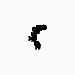 CN(C)c1nc(CNC(=O)[C@@H]2CCCN2S(=O)(=O)c2cc3ccccc3o2)cc(-c2ccc(C(F)(F)F)nc2)n1